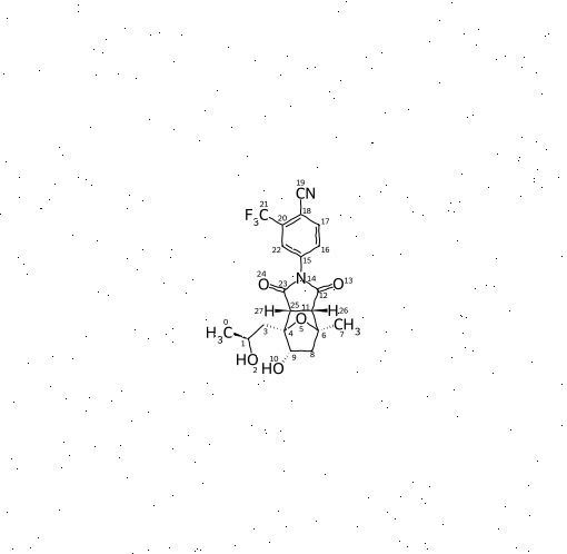 C[C@H](O)C[C@]12O[C@](C)(C[C@@H]1O)[C@H]1C(=O)N(c3ccc(C#N)c(C(F)(F)F)c3)C(=O)[C@H]12